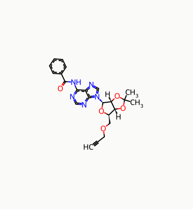 C#CCOC[C@H]1O[C@@H](n2cnc3c(NC(=O)c4ccccc4)ncnc32)[C@@H]2OC(C)(C)O[C@@H]21